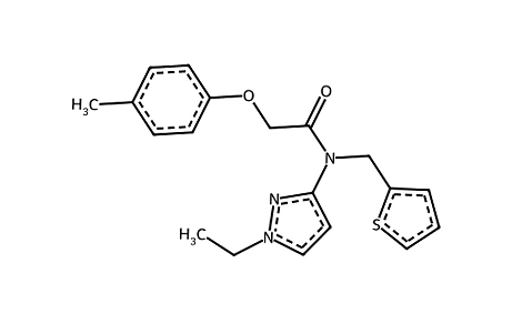 CCn1ccc(N(Cc2cccs2)C(=O)COc2ccc(C)cc2)n1